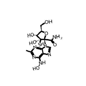 Cc1nc(NO)c2ncn([C@]3(C(N)=O)O[C@H](CO)[C@@H](O)[C@]3(O)S)c2n1